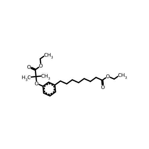 CCOC(=O)CCCCCCCc1cccc(OC(C)(C)C(=O)OCC)c1